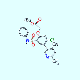 CN(c1ccccc1)S(=O)(=O)c1cc(-c2cnc(C(F)(F)F)cc2C#N)c(Cl)cc1OCC(=O)OC(C)(C)C